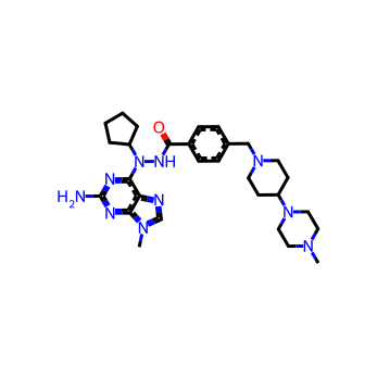 CN1CCN(C2CCN(Cc3ccc(C(=O)NN(c4nc(N)nc5c4ncn5C)C4CCCC4)cc3)CC2)CC1